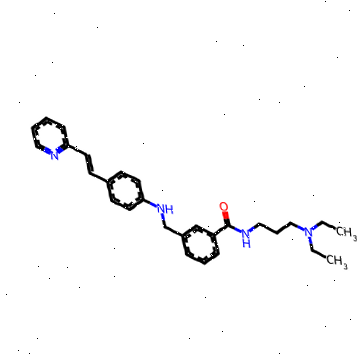 CCN(CC)CCCNC(=O)c1cccc(CNc2ccc(/C=C/c3ccccn3)cc2)c1